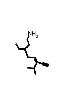 C#C/C(=C/CC(CC)CCN)C(C)C